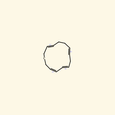 [CH]1/C=C/CC/C=C/C/C=C/C=C\CC1